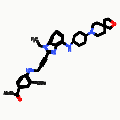 CNC(=O)c1ccc(NCC#Cc2nc3c(N[C@H]4CC[C@H](N5CCC6(CCOC6)CC5)CC4)cccc3n2CC(F)(F)F)c(OC)c1